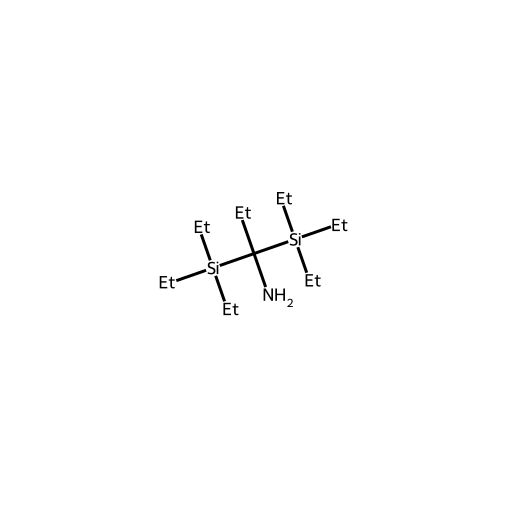 [CH2]CC(N)([Si](CC)(CC)CC)[Si](CC)(CC)CC